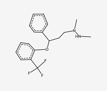 CNN(C)CCC(Oc1ccccc1C(F)(F)F)c1ccccc1